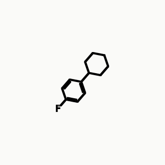 Fc1ccc(C2CCCCC2)cc1